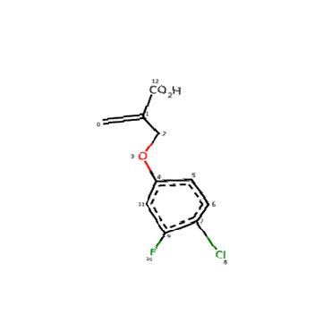 C=C(COc1ccc(Cl)c(F)c1)C(=O)O